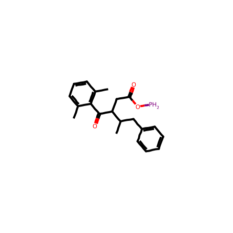 Cc1cccc(C)c1C(=O)C(CC(=O)OP)C(C)Cc1ccccc1